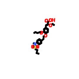 CCCCOc1cc(C=C(OCC)C(=O)O)ccc1OCCc1ccc(N(C)S(=O)(=O)CCCC)cc1